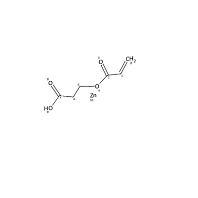 C=CC(=O)OCCC(=O)O.[Zn]